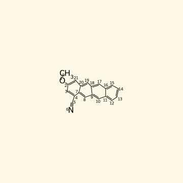 COc1cc(C#N)c2cc3cc4ccccc4cc3cc2c1